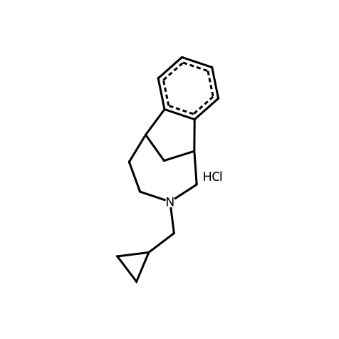 Cl.c1ccc2c(c1)C1CCN(CC3CC3)CC2C1